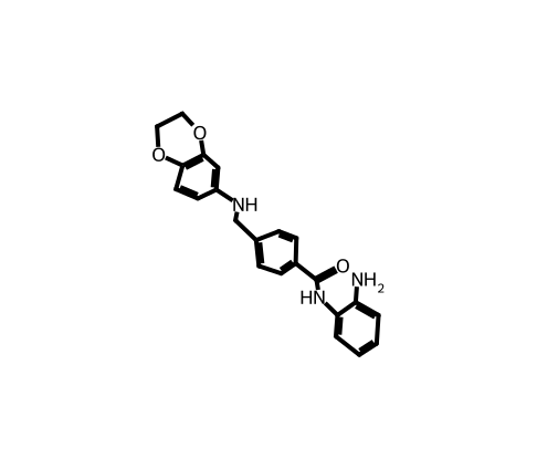 Nc1ccccc1NC(=O)c1ccc(CNc2ccc3c(c2)OCCO3)cc1